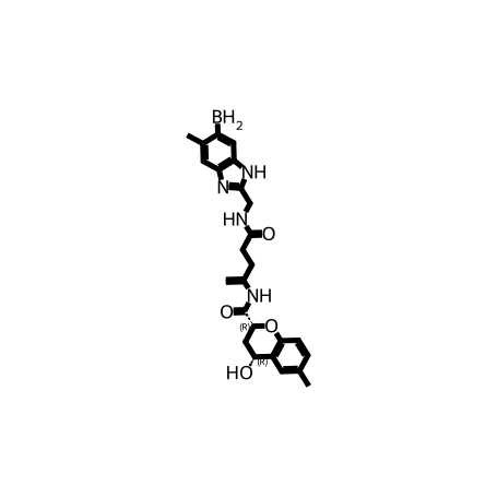 Bc1cc2[nH]c(CNC(=O)CCC(=C)NC(=O)[C@H]3C[C@@H](O)c4cc(C)ccc4O3)nc2cc1C